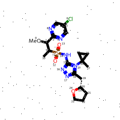 COC(c1ncc(Cl)cn1)C(C)S(=O)(=O)Nc1nnc(C[C@@H]2CCCO2)n1C1(C)CC1